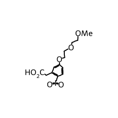 COCCOCCOc1ccc(I(=O)=O)c(CC(=O)O)c1